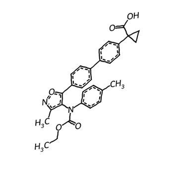 CCOC(=O)N(c1ccc(C)cc1)c1c(C)noc1-c1ccc(-c2ccc(C3(C(=O)O)CC3)cc2)cc1